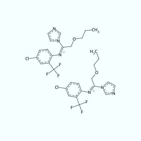 CCCOC/C(=N/c1ccc(Cl)cc1C(F)(F)F)n1ccnc1.CCCOC/C(=N\c1ccc(Cl)cc1C(F)(F)F)n1ccnc1